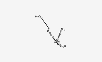 COCCOCCOCCOCCOCCOCCC(C)(C)OCC(C)(C)OCCOCCOCCOCCOCCNC(=O)C(Cc1ccc(OCC(=O)O)cc1)NC(=O)CCOCCOCCOCCOCCN